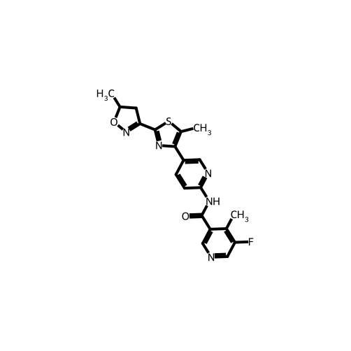 Cc1sc(C2=NOC(C)C2)nc1-c1ccc(NC(=O)c2cncc(F)c2C)nc1